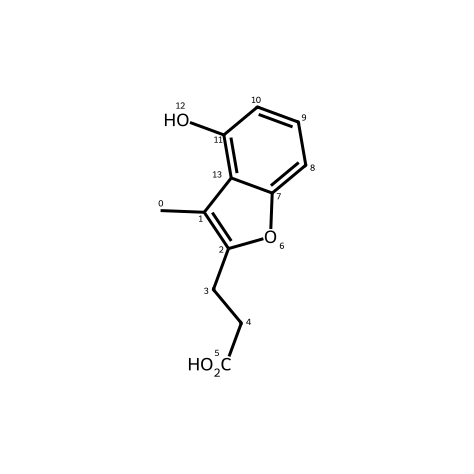 Cc1c(CCC(=O)O)oc2cccc(O)c12